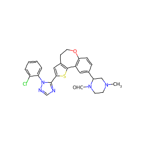 CN1CCN(C=O)C(c2ccc3c(c2)-c2sc(-c4ncnn4-c4ccccc4Cl)cc2CCO3)C1